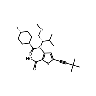 COC[C@H](C(C)C)N(c1cc(C#CC(C)(C)C)sc1C(=O)O)C(=O)[C@H]1CC[C@H](C)CC1